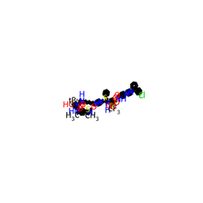 Cc1ncsc1-c1ccc([C@H](C)NC(=O)[C@@H]2C[C@@H](O)CN2C(=O)[C@@H](NC(=O)CCCCCC(=O)N2CCN(CC[C@H](CSc3ccccc3)Nc3ccc(S(=O)(=O)NC(=O)c4ccc(N5CCN(CC6=C(c7ccc(Cl)cc7)CCCCC6)CC5)cc4)cc3S(=O)(=O)C(F)(F)F)CC2)C(C)(C)C)cc1